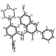 Cc1c(-c2cccnc2)nc2cc(F)ccc2c1Nc1cc(N2CCOCC2)ccc1C#N